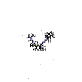 CCCCC(C)/C=C(C)/C=C(\C)C(=O)NC1=C[C@@](O)(/C=C/C=C/C=C/C(=O)NC2=C(O)CCC2=O)[C@H](O)CC1=O